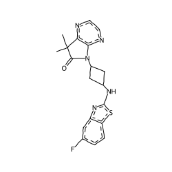 CC1(C)C(=O)N(C2CC(Nc3nc4cc(F)ccc4s3)C2)c2nccnc21